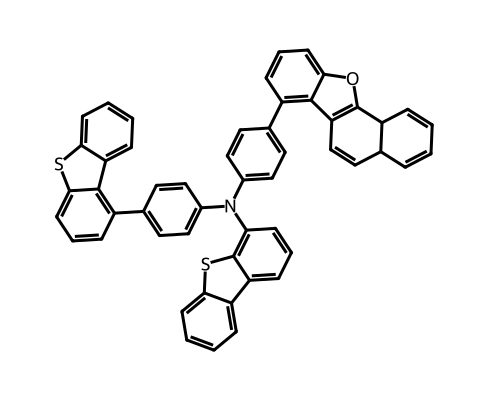 C1=CC2C=Cc3c(oc4cccc(-c5ccc(N(c6ccc(-c7cccc8sc9ccccc9c78)cc6)c6cccc7c6sc6ccccc67)cc5)c34)C2C=C1